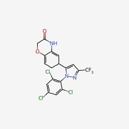 O=C1COC2=CCC(c3cc(C(F)(F)F)nn3-c3c(Cl)cc(Cl)cc3Cl)C=C2N1